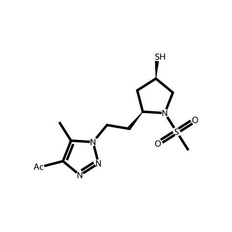 CC(=O)c1nnn(CC[C@H]2C[C@@H](S)CN2S(C)(=O)=O)c1C